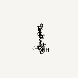 O=c1[nH]nc2c(NCCCc3cccc(OCCN4CCOCC4)c3)cc(Cl)cn12